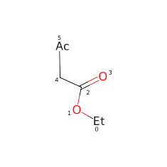 CCOC(=O)C[13C]([13CH3])=O